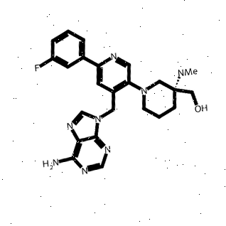 CN[C@]1(CO)CCCN(c2cnc(-c3cccc(F)c3)cc2Cn2cnc3c(N)ncnc32)C1